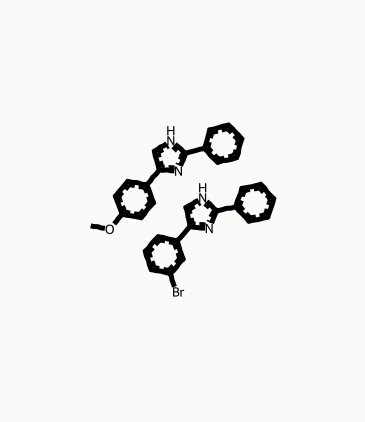 Brc1cccc(-c2c[nH]c(-c3ccccc3)n2)c1.COc1ccc(-c2c[nH]c(-c3ccccc3)n2)cc1